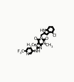 Cn1c(Nc2ccc(C(F)(F)F)nc2)nc2c1c(=O)n(Cc1cc3c(Cl)cccc3[nH]1)c(=O)n2C